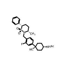 CC(=O)N[C@H]1CC[C@](C#N)(c2ccc(CN3[C@@H](C)CC[C@@H](c4ccccc4)S3(=O)=O)c(F)c2)CC1